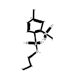 CCCOS(=O)(=O)c1ccc(C)cc1S(C)(=O)=O